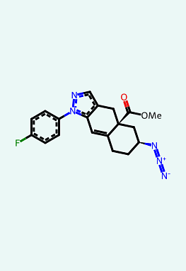 COC(=O)[C@]12Cc3cnn(-c4ccc(F)cc4)c3C=C1CC[C@H](N=[N+]=[N-])C2